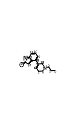 CCCN1CCC=C(c2cccc3c2=CC(=O)N=3)C1